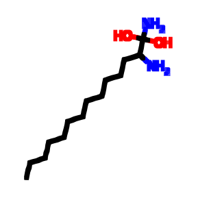 CCCCCCCCCCCCC(N)C(N)(O)O